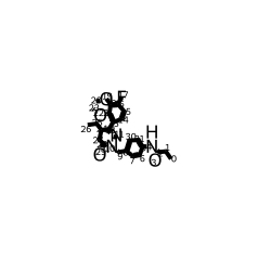 CCC(=O)Nc1ccc(CN2N=C(c3ccc(F)c(OC)c3OC)C(CC)CC2=O)cc1